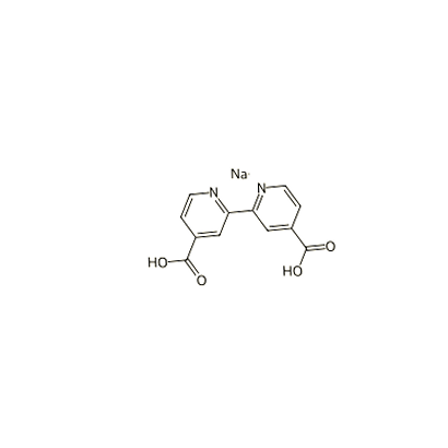 O=C(O)c1ccnc(-c2cc(C(=O)O)ccn2)c1.[Na]